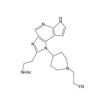 CC(=O)NCCc1nc2cnc3[nH]ccc3c2n1C1CCN(CCC#N)CC1